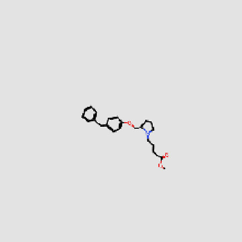 COC(=O)CCCN1CCC[C@@H]1COc1ccc(Cc2ccccc2)cc1